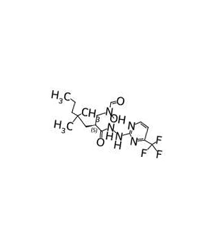 CCCC(C)(C)C[C@@H](CN(O)C=O)C(=O)NNc1nccc(C(F)(F)F)n1